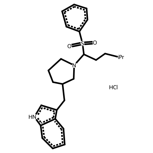 CC(C)CCC(N1CCCC(Cc2c[nH]c3ccccc23)C1)S(=O)(=O)c1ccccc1.Cl